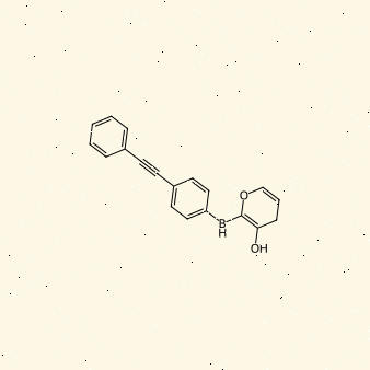 OC1=C(Bc2ccc(C#Cc3ccccc3)cc2)OC=CC1